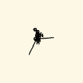 CCCCCCCCCCCCCCCCCCNC(=O)C(COC(=O)NC(C)(C)CC(C)(N)OC(C)(C)CCOC(C)(C)C)NC(=O)CCCCCCCCCCCCCCCCC